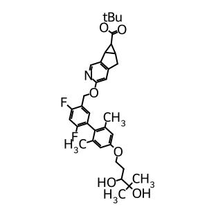 Cc1cc(OCCC(O)C(C)(C)O)cc(C)c1-c1cc(COc2cc3c(cn2)C2C(C3)C2C(=O)OC(C)(C)C)c(F)cc1F